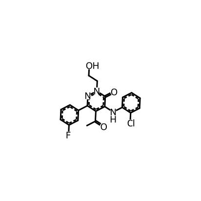 CC(=O)c1c(-c2cccc(F)c2)nn(CCO)c(=O)c1Nc1ccccc1Cl